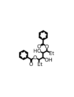 CCC(OC(=O)c1ccccc1)C(O)C(O)C(CC)OC(=O)c1ccccc1